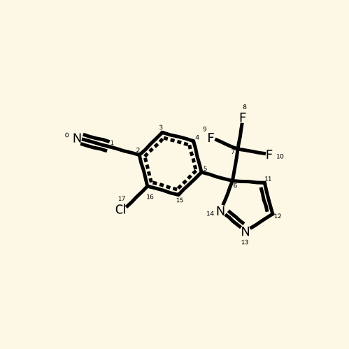 N#Cc1ccc(C2(C(F)(F)F)C=CN=N2)cc1Cl